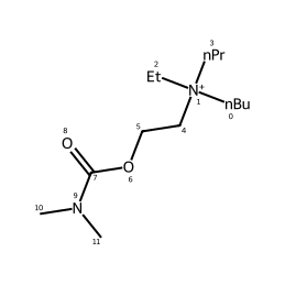 CCCC[N+](CC)(CCC)CCOC(=O)N(C)C